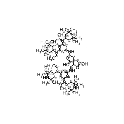 CCN(c1nc(NCCC(CCNc2nc(N(CC)C3CC(C)(C)NC(C)(C)C3)nc(N(CC)C3CC(C)(C)NC(C)(C)C3)n2)(CC(=O)O)C(=O)O)nc(N(CC)C2CC(C)(C)NC(C)(C)C2)n1)C1CC(C)(C)NC(C)(C)C1